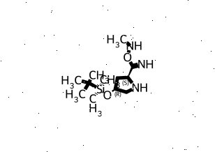 CNOC(=N)[C@@H]1C[C@@H](O[Si](C)(C)C(C)(C)C)CN1